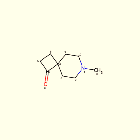 CN1CCC2(CCC2=O)CC1